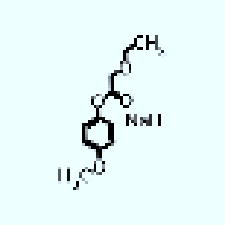 CCOCC(=O)Oc1ccc(OC)cc1.[NaH]